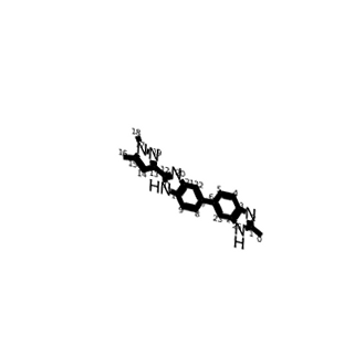 Cc1nc2ccc(-c3ccc4[nH]c(-c5cc(C)n(C)n5)nc4c3)cc2[nH]1